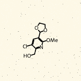 COc1nc(CO)c(Cl)cc1C1OCCO1